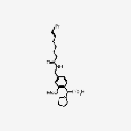 COc1cc(CNC(=O)CCCC/C=C/C(C)C)ccc1C(C(=O)O)N1CCCC1